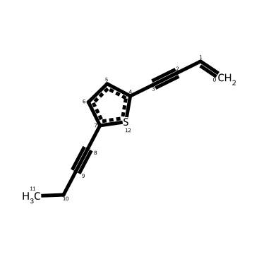 C=CC#Cc1ccc(C#CCC)s1